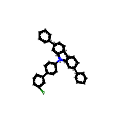 Clc1cccc(-c2ccc(-n3c4cc(-c5ccccc5)ccc4c4ccc(-c5ccccc5)cc43)cc2)c1